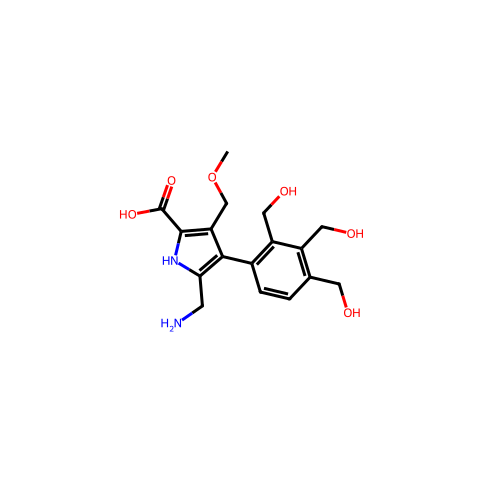 COCc1c(C(=O)O)[nH]c(CN)c1-c1ccc(CO)c(CO)c1CO